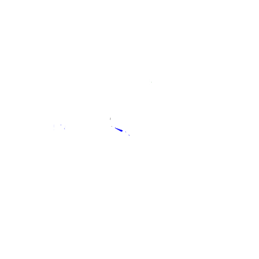 Cl.O=C1c2ccccc2C(=O)N1[C@@H]1CCCNC1